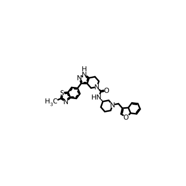 Cc1nc2ccc(-c3n[nH]c4c3CN(C(=O)N[C@@H]3CCCN(CC5=COC6C=CC=CC56)C3)CC4)cc2s1